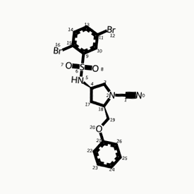 N#CN1C[C@H](NS(=O)(=O)c2cc(Br)ccc2Br)C[C@@H]1COc1ccccc1